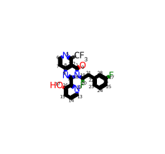 O=c1c2c(C(F)(F)F)nccc2nc(-c2ncccc2O)n1C(F)Cc1cccc(F)c1